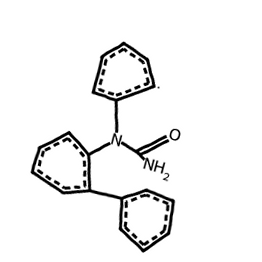 NC(=O)N(c1[c]cccc1)c1ccccc1-c1ccccc1